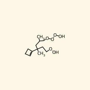 CC(COOOO)CC(C)(CCOO)C1=CCC1